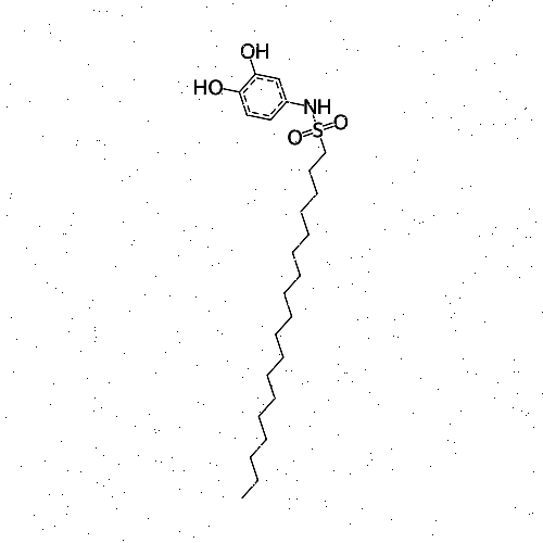 CCCCCCCCCCCCCCCCCCS(=O)(=O)Nc1ccc(O)c(O)c1